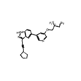 CC(C)C[C@H](N)COc1cncc(-c2ccc3[nH]nc(C#CC4CCCC4)c3c2)c1